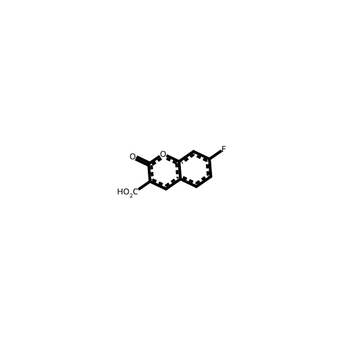 O=C(O)c1cc2ccc(F)cc2oc1=O